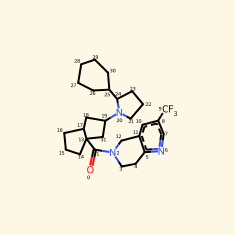 O=C(N1CCc2ncc(C(F)(F)F)cc2C1)C12CCCC1CC(N1CCCC1C1CCCCC1)C2